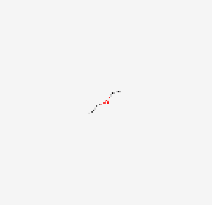 [CH]COCC